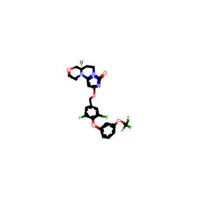 O=c1nc(OCc2cc(F)c(Oc3cccc(OC(F)(F)F)c3)c(F)c2)cc2n1CC[C@@H]1COCCN21